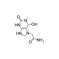 CN1C(=O)NC2=C(C1O)N(CC(N)=O)CN2